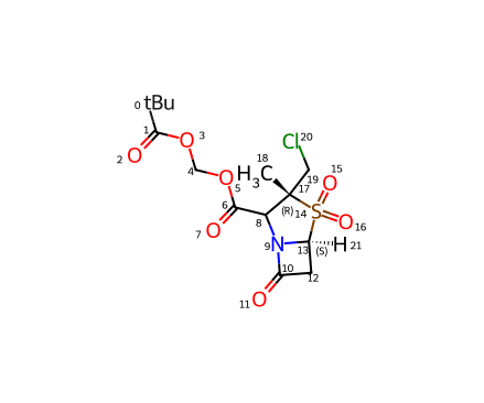 CC(C)(C)C(=O)OCOC(=O)C1N2C(=O)C[C@@H]2S(=O)(=O)[C@@]1(C)CCl